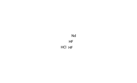 Cl.F.F.[Nd]